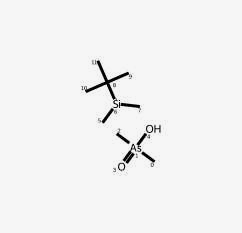 C[As](C)(=O)O.C[Si](C)C(C)(C)C